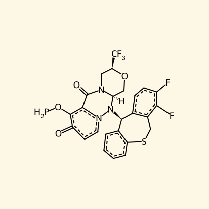 O=C1c2c(OP)c(=O)ccn2N([C@@H]2c3ccccc3SCc3c2ccc(F)c3F)[C@@H]2CO[C@H](C(F)(F)F)CN12